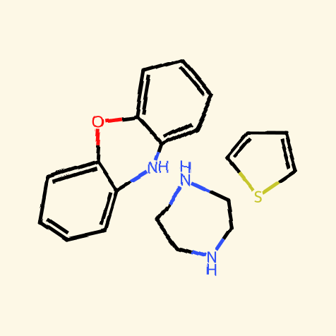 C1CNCCN1.c1ccc2c(c1)Nc1ccccc1O2.c1ccsc1